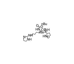 CCCCOC(=O)NC(CCCCCNC1N=CCCN1)(NC(=O)C1CCON1)C(=O)O